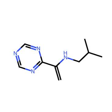 C=C(NCC(C)C)c1ncncn1